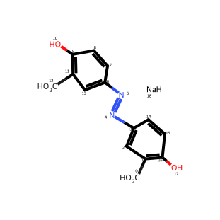 O=C(O)c1cc(N=Nc2ccc(O)c(C(=O)O)c2)ccc1O.[NaH]